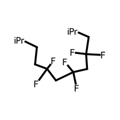 CC(C)CCC(F)(F)CC(F)(F)CC(F)(F)CC(C)C